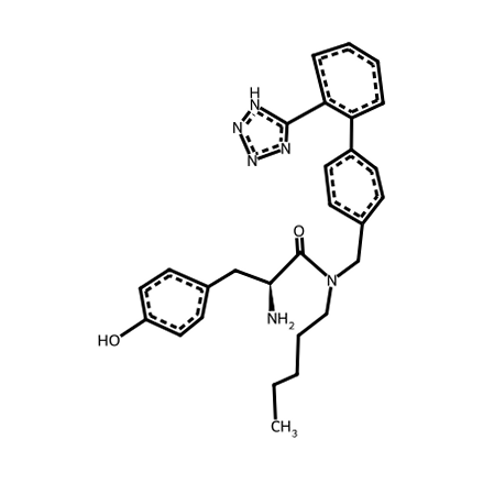 CCCCCN(Cc1ccc(-c2ccccc2-c2nnn[nH]2)cc1)C(=O)[C@@H](N)Cc1ccc(O)cc1